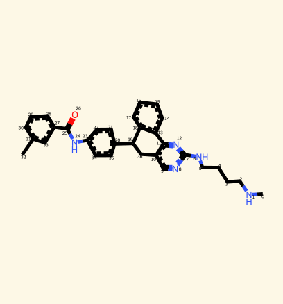 CNCCCCNc1ncc2c(n1)-c1ccccc1C(c1ccc(NC(=O)c3cccc(C)c3)cc1)C2